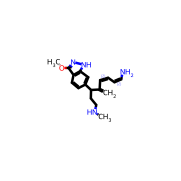 C=C(/C=C\C=C/N)C(CCNC)c1ccc2c(OC)n[nH]c2c1